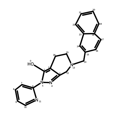 Oc1c2c(nn1-c1ccccn1)CN(Cc1ccc3ccccc3c1)CC2